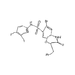 CC(C)CC1Oc2cc(S(=O)(=O)Nc3ccc(F)c(F)c3)c(Br)cc2NC1=O